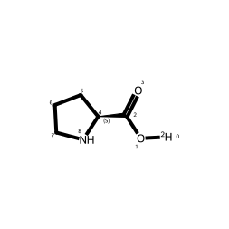 [2H]OC(=O)[C@@H]1CCCN1